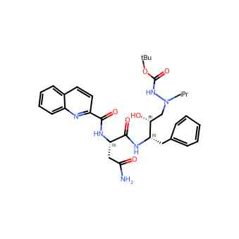 CC(C)N(C[C@@H](O)[C@H](Cc1ccccc1)NC(=O)[C@H](CC(N)=O)NC(=O)c1ccc2ccccc2n1)NC(=O)OC(C)(C)C